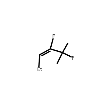 CC/C=C(/F)C(C)(C)F